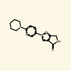 O=C1NCc2nn(-c3ccc(N4CCCCC4)nc3)cc21